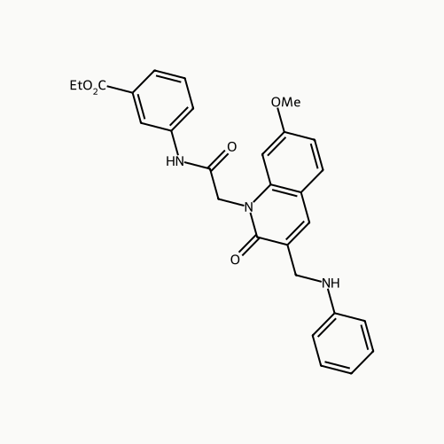 CCOC(=O)c1cccc(NC(=O)Cn2c(=O)c(CNc3ccccc3)cc3ccc(OC)cc32)c1